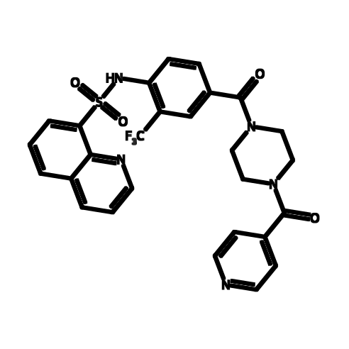 O=C(c1ccncc1)N1CCN(C(=O)c2ccc(NS(=O)(=O)c3cccc4cccnc34)c(C(F)(F)F)c2)CC1